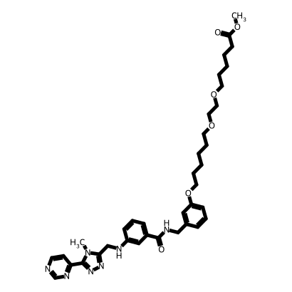 COC(=O)CCCCCOCCOCCCCCCOc1cccc(CNC(=O)c2cccc(NCc3nnc(-c4ccncn4)n3C)c2)c1